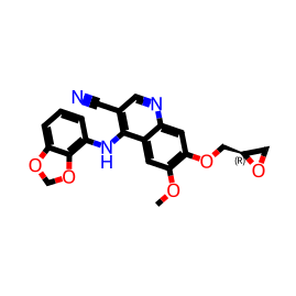 COc1cc2c(Nc3cccc4c3OCO4)c(C#N)cnc2cc1OC[C@H]1CO1